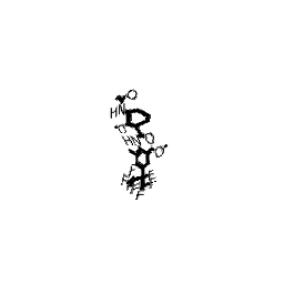 COCc1cc(C(F)(C(F)(F)F)C(F)(F)F)cc(C)c1NC(=O)c1cccc(NC(C)=O)c1OC